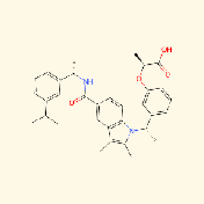 Cc1c(C)n([C@@H](C)c2cccc(O[C@@H](C)C(=O)O)c2)c2ccc(C(=O)N[C@@H](C)c3cccc(C(C)C)c3)cc12